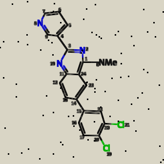 CNc1nc(-c2cccnc2)nc2ccc(-c3ccc(Cl)c(Cl)c3)cc12